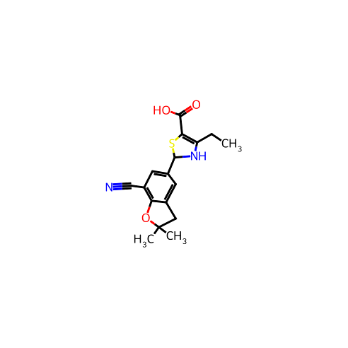 CCC1=C(C(=O)O)SC(c2cc(C#N)c3c(c2)CC(C)(C)O3)N1